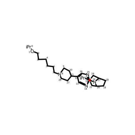 CC(C)OCCCCCCN1CCC(c2cnc(N3C4CCC3CN(C(C)C)C4)nc2)CC1